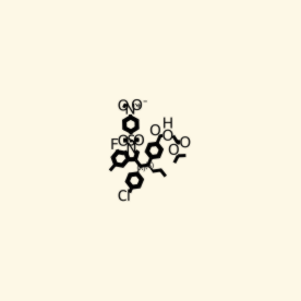 CC(=O)OC(C)C.CCC[C@H](c1ccc(C(=O)O)cc1)[C@H](c1ccc(Cl)cc1)c1cn(S(=O)(=O)c2ccc([N+](=O)[O-])cc2)c2c(F)cc(C)cc12